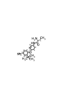 CC[C@@H](N)C(=O)Nc1ccc(Oc2ccc(C#N)cc2C(C)(C)C)nc1